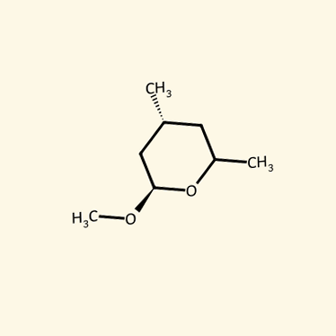 CO[C@H]1C[C@H](C)CC(C)O1